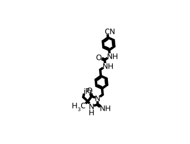 CC(C)CC1(C)NC(=N)N(Cc2ccc(CNC(=O)Nc3ccc(C#N)cc3)cc2)C1=O